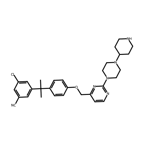 CC(C)(c1ccc(OCc2ccnc(N3CCN(C4CCNCC4)CC3)n2)cc1)c1cc(Cl)cc(C#N)c1